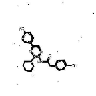 O=C(Cc1ccc(O)cc1)Nc1ncc(-c2ccc(O)cc2)nc1C1CCCCC1